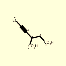 CCC#CC(CC(=O)O)C(=O)O